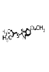 CCOc1ccc2nc(SCC(CC)CC)sc2c1